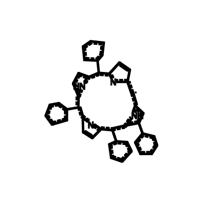 [c]1c2nc(c(-c3ccccc3)c3ccc([nH]3)c(-c3ccccc3)c3nc(c(-c4ccccc4)c4[nH]c1cc4-c1ccccc1)C=C3)C=C2